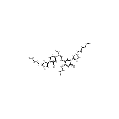 CCCCOC[C@H]1O[C@@H](n2cc(CCN(CC)c3ccn(C4CO[C@H](COCCC)S4)c(=O)n3)c(NCCC)nc2=O)CS1